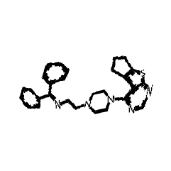 c1ccc(C(=NCCN2CCN(c3ncnc4sc5c(c34)CCC5)CC2)c2ccccc2)cc1